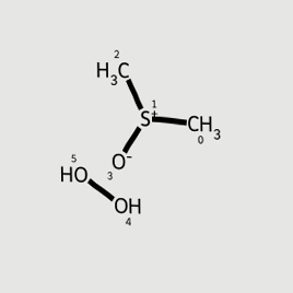 C[S+](C)[O-].OO